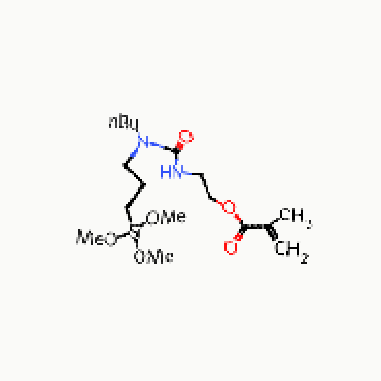 C=C(C)C(=O)OCCNC(=O)N(CCCC)CCC[Si](OC)(OC)OC